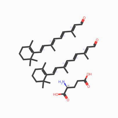 CC1=C(/C=C/C(C)=C/C=C/C(C)=C/C=O)C(C)(C)CCC1.CC1=C(/C=C/C(C)=C/C=C/C(C)=C/C=O)C(C)(C)CCC1.N[C@@H](CCC(=O)O)C(=O)O